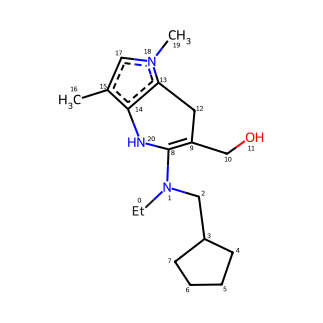 CCN(CC1CCCC1)C1=C(CO)Cc2c(c(C)cn2C)N1